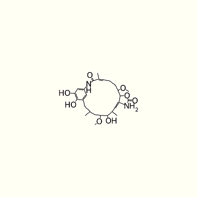 COC1CC/C=C(\C)C(=O)Nc2cc(O)c(O)c(c2)CC(C)CC(OC)C(O)C(C)/C=C(\C)C1OC(N)=O